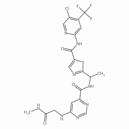 CNC(=O)CNc1cc(C(=O)NC(C)c2ncc(C(=O)Nc3cc(C(F)(F)F)c(Cl)cn3)s2)ncn1